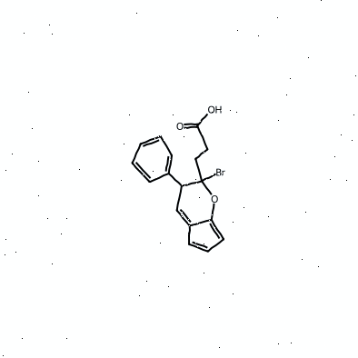 O=C(O)CCC1(Br)OC2=CC=CC2=CC1c1ccccc1